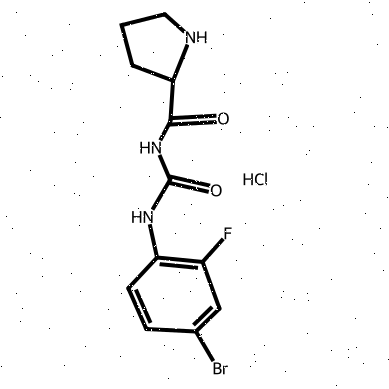 Cl.O=C(NC(=O)C1CCCN1)Nc1ccc(Br)cc1F